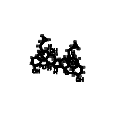 Oc1ccc2c3c1O[C@H]1c4[nH]c5c(c4C[C@@]4(O)[C@@H](C2)N(CC2CC2)CC[C@]314)C[C@]1(O)[C@H]2Cc3ccc(O)c4c3[C@@]1(CCN2CC1CC1)[C@@H]5O4